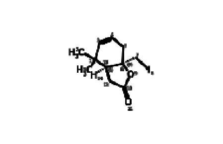 CC1(C)C=CC[C@@]2(CI)OC(=O)C[C@@H]12